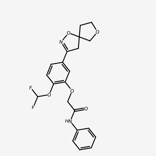 O=C(COc1cc(C2=NOC3(CCOC3)C2)ccc1OC(F)F)Nc1ccccc1